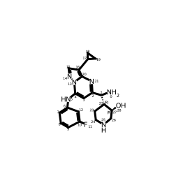 NC(c1cc(Nc2cccc(F)c2)n2ncc(C3CC3)c2n1)[C@H]1CCNC[C@@H]1O